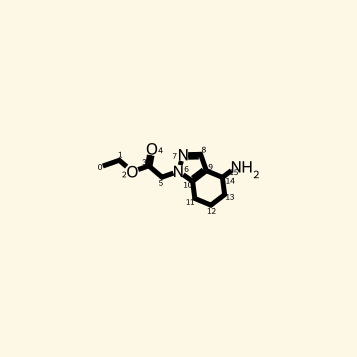 CCOC(=O)Cn1ncc2c1CCCC2N